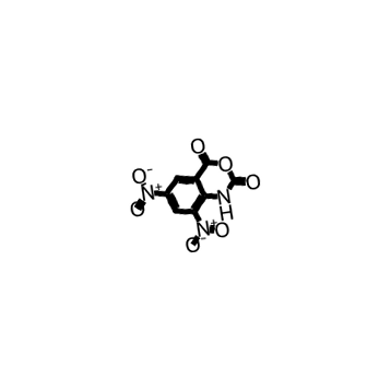 O=c1[nH]c2c([N+](=O)[O-])cc([N+](=O)[O-])cc2c(=O)o1